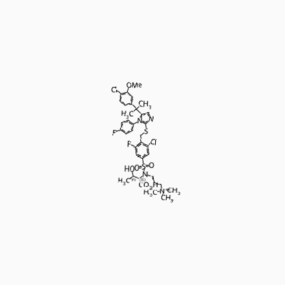 COc1cc(C(C)(C)c2cnc(SCc3c(F)cc(S(=O)(=O)N(CCC[N+](C)(C)C)[C@H](C(=O)O)[C@@H](C)O)cc3Cl)n2-c2ccc(F)cc2)ccc1Cl